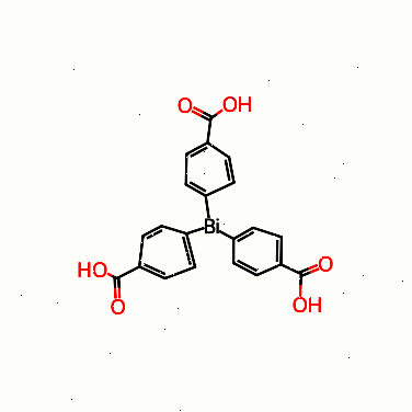 O=C(O)c1cc[c]([Bi]([c]2ccc(C(=O)O)cc2)[c]2ccc(C(=O)O)cc2)cc1